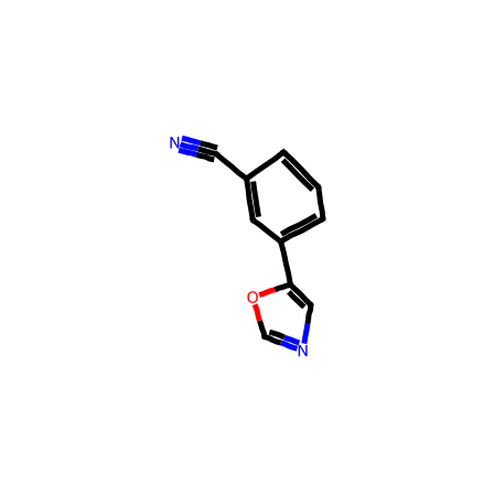 N#Cc1cccc(-c2cnco2)c1